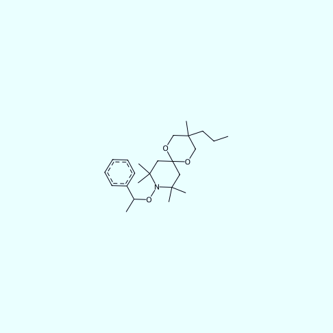 CCCC1(C)COC2(CC(C)(C)N(OC(C)c3ccccc3)C(C)(C)C2)OC1